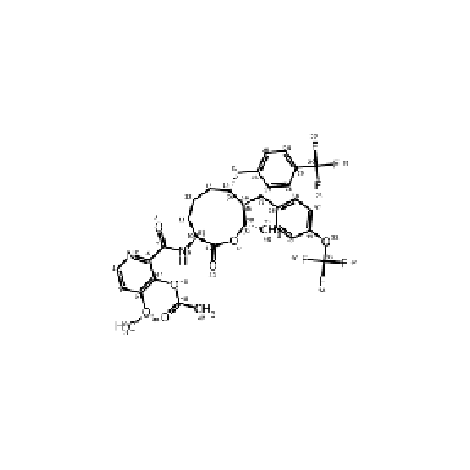 COc1ccnc(C(=O)N[C@H]2CCC[C@H](Cc3ccc(C(F)(F)F)cc3)[C@@H](Cc3ccc(OC(F)(F)F)cc3)[C@H](C)OC2=O)c1OC(C)=O